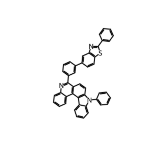 c1ccc(-c2nc3cc(-c4cccc(-c5nc6ccccc6c6c5ccc5c6c6ccccc6n5-c5ccccc5)c4)ccc3s2)cc1